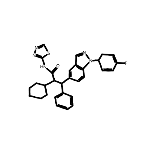 O=C(Nc1nncs1)C(C1CCCCC1)C(c1ccccc1)c1ccc2c(cnn2C2C=CC(F)=CC2)c1